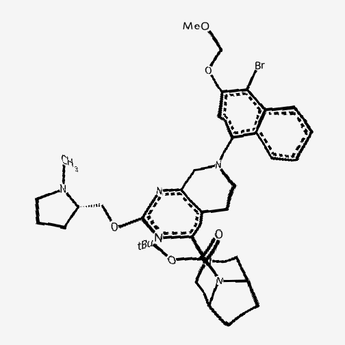 COCOc1cc(N2CCc3c(nc(OC[C@@H]4CCCN4C)nc3N3CC4CCC(C3)N4C(=O)OC(C)(C)C)C2)c2ccccc2c1Br